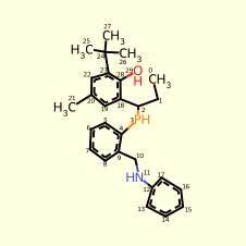 CCC(Pc1ccccc1CNc1ccccc1)c1cc(C)cc(C(C)(C)C)c1O